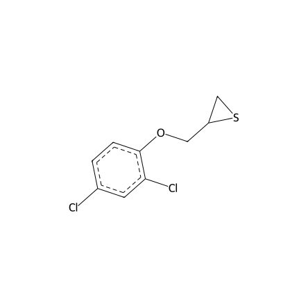 Clc1ccc(OCC2CS2)c(Cl)c1